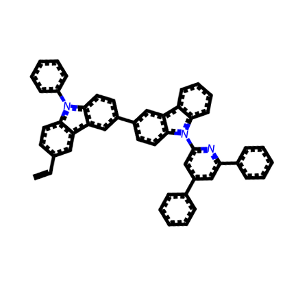 C=Cc1ccc2c(c1)c1cc(-c3ccc4c(c3)c3ccccc3n4-c3cc(-c4ccccc4)cc(-c4ccccc4)n3)ccc1n2-c1ccccc1